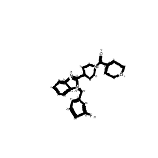 O=C(C1CCOCC1)N1CCC(c2nc3ccccc3n2Cc2cccc(F)c2)CC1